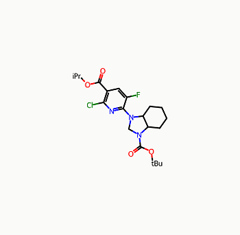 CC(C)OC(=O)c1cc(F)c(N2CN(C(=O)OC(C)(C)C)C3CCCCC32)nc1Cl